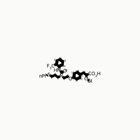 CCCSCCCN(CCOc1ccc(CC(OCC)C(=O)O)cc1)C(=O)Nc1ccccc1C(F)(F)F